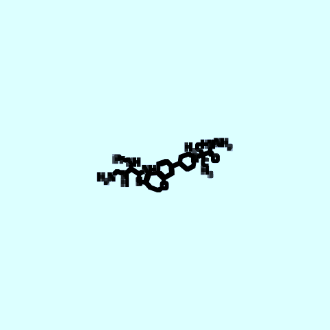 CC(C)NC(NCN)C1NC2=C(CCOc3cc(C4CCN(C(C)(C)C(=O)NN)CC4)ccc32)S1